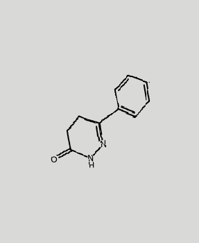 O=C1CCC(c2cc[c]cc2)=NN1